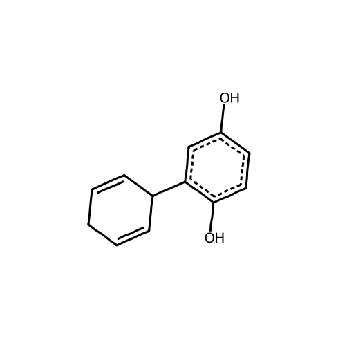 Oc1ccc(O)c(C2C=CCC=C2)c1